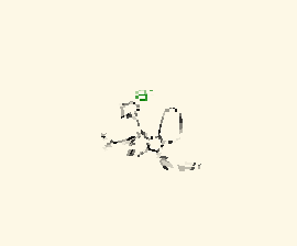 CC(C)=c1ccc2c(c1C1=CC=CC1)C1=C(CCCC1)[C]=2[Zr+2].[Cl-].[Cl-]